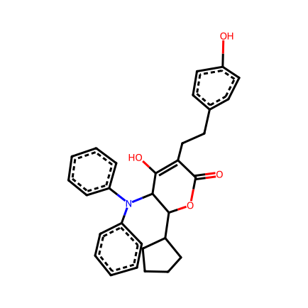 O=C1OC(C2CCCC2)C(N(c2ccccc2)c2ccccc2)C(O)=C1CCc1ccc(O)cc1